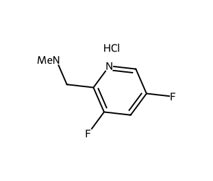 CNCc1ncc(F)cc1F.Cl